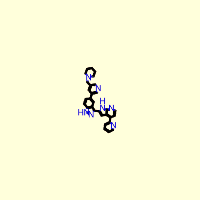 c1ccc(-c2ccnc3[nH]c(-c4n[nH]c5ccc(-c6cncc(CN7CCCCC7)c6)cc45)cc23)nc1